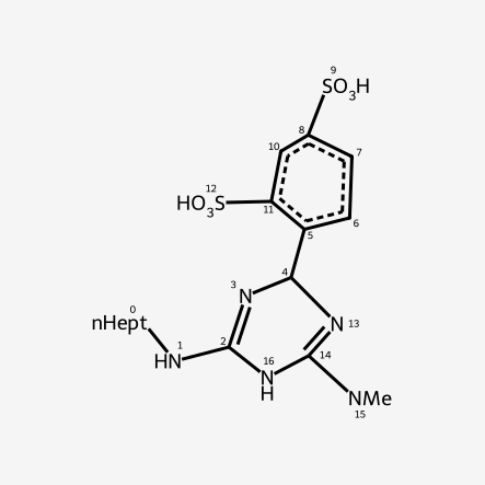 CCCCCCCNC1=NC(c2ccc(S(=O)(=O)O)cc2S(=O)(=O)O)N=C(NC)N1